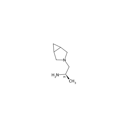 C[C@@H](N)CN1CC2CC2C1